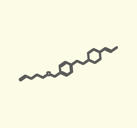 C=CCCCOCc1ccc(CCC2CCC(/C=C/C)CC2)cc1